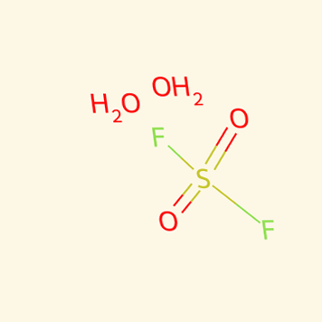 O.O.O=S(=O)(F)F